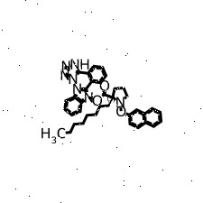 CCCCCCCC[C@@]1(C(=O)On2c(-c3ccccc3-c3nnn[nH]3)nc3ccccc32)CCCN1Oc1ccc2ccccc2c1